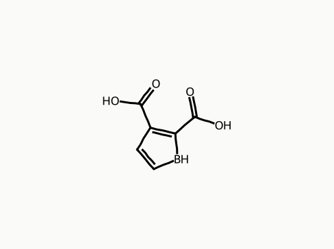 O=C(O)C1=C(C(=O)O)C=CB1